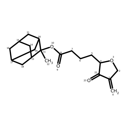 C=C1COC(CCCC(=O)OC2(C)C3CC4CC(C3)CC2C4)C1=O